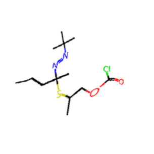 CCCC(C)(N=NC(C)(C)C)SC(C)COC(=O)Cl